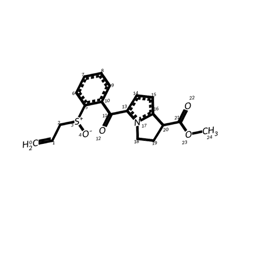 C=CC[S+]([O-])c1ccccc1C(=O)c1ccc2n1CCC2C(=O)OC